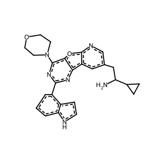 NC(Cc1cnc2oc3c(N4CCOCC4)nc(-c4cccc5[nH]ccc45)nc3c2c1)C1CC1